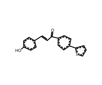 O=C(C=Cc1ccc(O)cc1)c1ccc(-c2cccs2)cc1